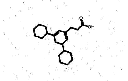 O=C(O)CCC1=CC(C2CCCCC2)CC(C2CCCCC2)=C1